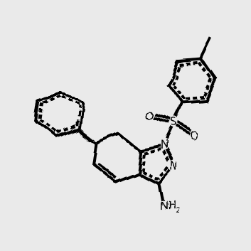 Cc1ccc(S(=O)(=O)n2nc(N)c3c2CC(c2ccccc2)C=C3)cc1